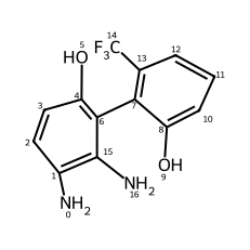 Nc1ccc(O)c(-c2c(O)cccc2C(F)(F)F)c1N